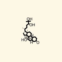 C[C@H](CCC(O)C(C)(C)O)[C@H]1CC[C@H]2[C@@H]3[C@H](O)C[C@@H]4CC(=O)CC[C@]4(C)[C@H]3CC[C@]12C